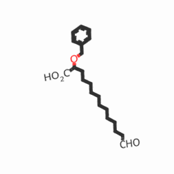 O=CCCCCCCCCCCCC(OCc1ccccc1)C(=O)O